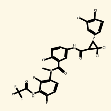 CN(C(=O)c1cc(NC(=O)C2[C@H](c3ccc(Cl)c(Cl)c3)C2(Cl)Cl)ccc1Cl)c1ccc(F)c(NC(=O)C(F)(F)F)c1F